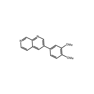 COc1ccc(-c2cnc3cnccc3c2)cc1OC